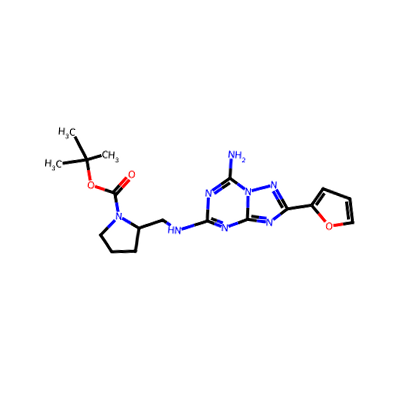 CC(C)(C)OC(=O)N1CCCC1CNc1nc(N)n2nc(-c3ccco3)nc2n1